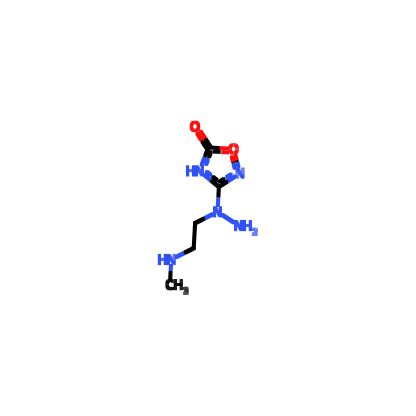 CNCCN(N)c1noc(=O)[nH]1